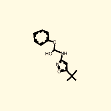 CC(C)(C)c1cc(NC(O)Oc2ccccc2)no1